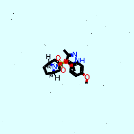 COc1ccc(O[C@H]2C[C@H]3CC[C@@H](C2)N3S(=O)(=O)c2c(C)n[nH]c2C)cc1